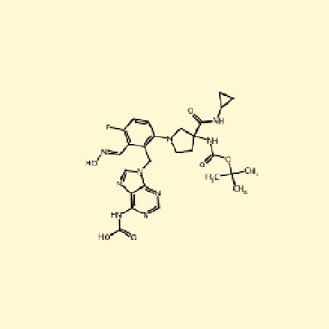 CC(C)(C)OC(=O)NC1(C(=O)NC2CC2)CCN(c2ccc(F)c(C=NO)c2Cn2cnc3c(NC(=O)O)ncnc32)C1